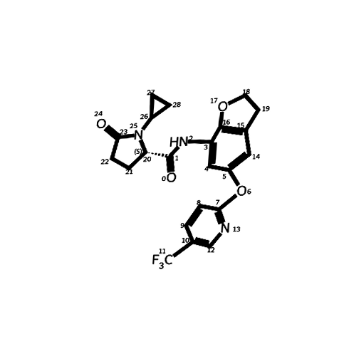 O=C(Nc1cc(Oc2ccc(C(F)(F)F)cn2)cc2c1OCC2)[C@@H]1CCC(=O)N1C1CC1